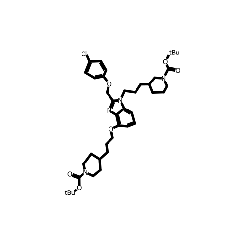 CC(C)(C)OC(=O)N1CCC(CCCOc2cccc3c2nc(COc2ccc(Cl)cc2)n3CCCC2CCCN(C(=O)OC(C)(C)C)C2)CC1